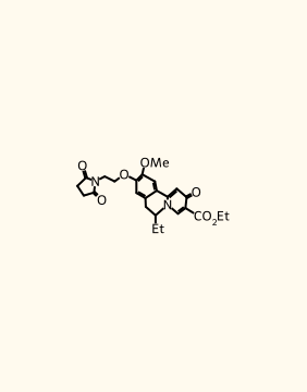 CCOC(=O)c1cn2c(cc1=O)-c1cc(OC)c(OCCN3C(=O)CCC3=O)cc1CC2CC